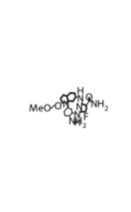 COCCOc1ccc2ccc(Nc3nc(NC4CCCCC4N)c(F)cc3C(N)=O)cc2n1